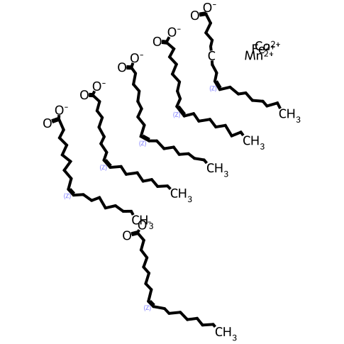 CCCCCCCC/C=C\CCCCCCCC(=O)[O-].CCCCCCCC/C=C\CCCCCCCC(=O)[O-].CCCCCCCC/C=C\CCCCCCCC(=O)[O-].CCCCCCCC/C=C\CCCCCCCC(=O)[O-].CCCCCCCC/C=C\CCCCCCCC(=O)[O-].CCCCCCCC/C=C\CCCCCCCC(=O)[O-].[Co+2].[Fe+2].[Mn+2]